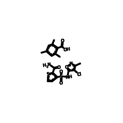 Cc1cc(C)c(C(=O)O)c(C)c1.Cc1noc(NS(=O)(=O)c2ccsc2C(N)=O)c1Cl